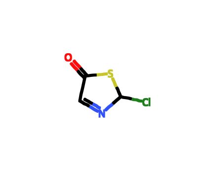 O=C1C=NC(Cl)S1